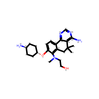 CN(CCO)c1c(O[C@H]2CC[C@H](N)CC2)ccc2c1CC(C)(C)c1c(N)ncnc1-2